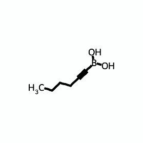 CCCCC#CB(O)O